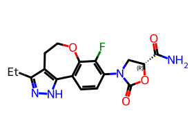 CCc1n[nH]c2c1CCOc1c-2ccc(N2C[C@H](C(N)=O)OC2=O)c1F